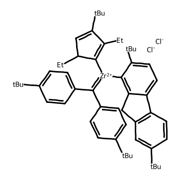 CCC1=[C]([Zr+2](=[C](c2ccc(C(C)(C)C)cc2)c2ccc(C(C)(C)C)cc2)[c]2c(C(C)(C)C)ccc3c2Cc2cc(C(C)(C)C)ccc2-3)C(CC)C=C1C(C)(C)C.[Cl-].[Cl-]